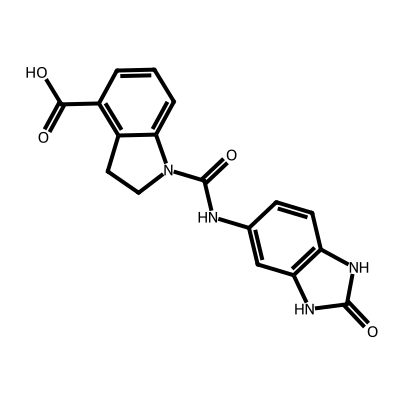 O=C(O)c1cccc2c1CCN2C(=O)Nc1ccc2[nH]c(=O)[nH]c2c1